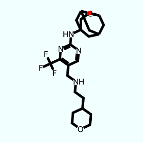 FC(F)(F)c1nc(NC23CCC4CC(CC(C4)C2)C3)ncc1CNCCC1CCOCC1